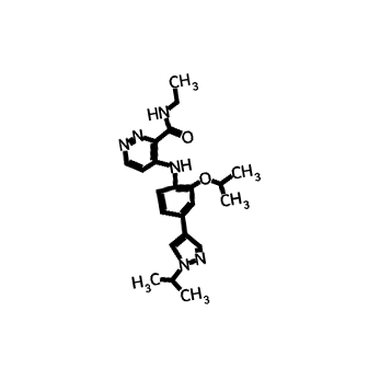 CCNC(=O)c1nnccc1Nc1ccc(-c2cnn(C(C)C)c2)cc1OC(C)C